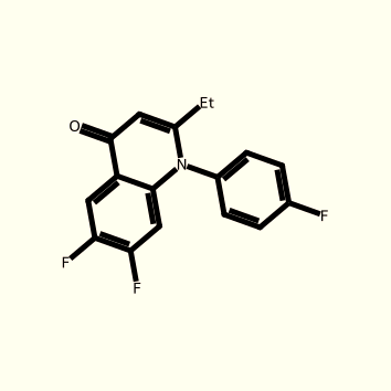 CCc1cc(=O)c2cc(F)c(F)cc2n1-c1ccc(F)cc1